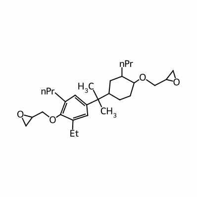 CCCc1cc(C(C)(C)C2CCC(OCC3CO3)C(CCC)C2)cc(CC)c1OCC1CO1